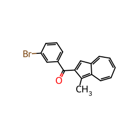 Cc1c(C(=O)c2cccc(Br)c2)cc2cccccc1-2